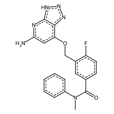 CN(C(=O)c1ccc(F)c(COc2cc(N)nc3[nH]nnc23)c1)c1ccccc1